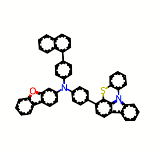 c1ccc2c(c1)Sc1c(-c3ccc(N(c4ccc(-c5cccc6ccccc56)cc4)c4ccc5c(c4)oc4ccccc45)cc3)ccc3c4ccccc4n-2c13